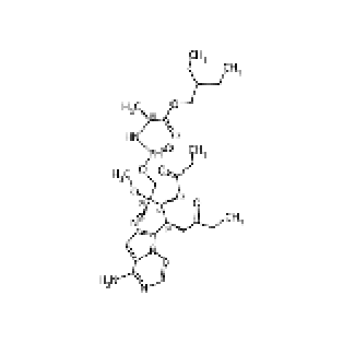 CCC(=O)C[C@@H](c1ccc2c(N)ncnn12)[C@H](OC(=O)CC)[C@@](C#N)(CO[PH](=O)N[C@@H](C)C(=O)OCC(CC)CC)OC